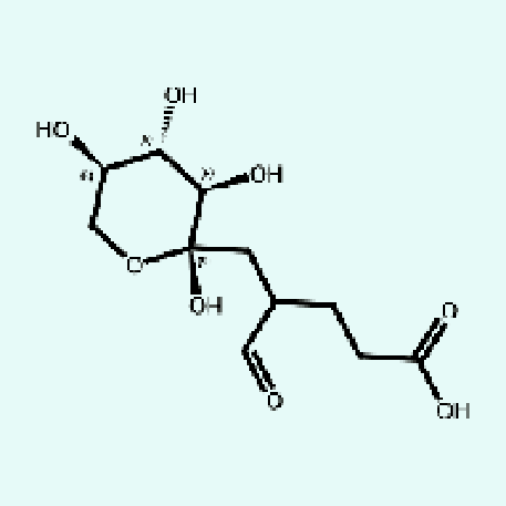 O=CC(CCC(=O)O)C[C@]1(O)OC[C@@H](O)[C@H](O)[C@H]1O